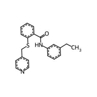 CCc1cccc(NC(=O)c2ccccc2SCc2ccncc2)c1